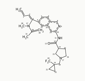 C=C/C=C(/c1ccc2cnc(NC(=O)C3CCN(CC4(C(F)(F)F)CC4)C3)cc2c1)N(C)C(=C)C